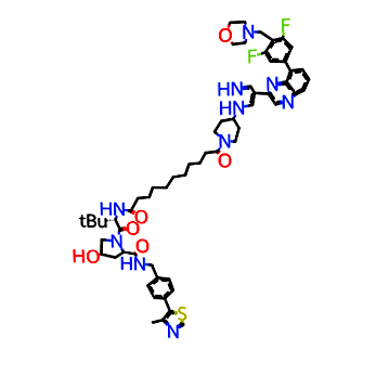 Cc1ncsc1-c1ccc(CNC(=O)C2CC(O)CN2C(=O)[C@@H](NC(=O)CCCCCCCCCC(=O)N2CCC(N/C=C(\C=N)c3cnc4cccc(-c5cc(F)c(CN6CCOCC6)c(F)c5)c4n3)CC2)C(C)(C)C)cc1